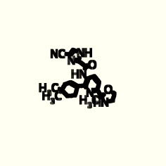 CC1(C)CC=C(c2nc(C3(C)NCCO3)ccc2NC(=O)c2nc(C#N)c[nH]2)CC1